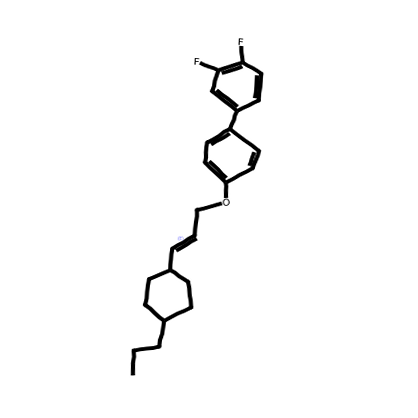 CCCC1CCC(/C=C/COc2ccc(-c3ccc(F)c(F)c3)cc2)CC1